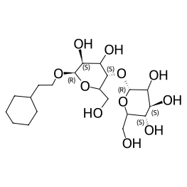 OCC1O[C@@H](OCCC2CCCCC2)[C@@H](O)C(O)[C@@H]1O[C@H]1OC(CO)[C@@H](O)[C@H](O)C1O